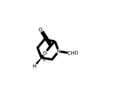 O=CN1C[C@@H]2CCC1C(=O)O2